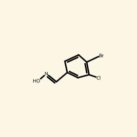 O/N=C/c1ccc(Br)c(Cl)c1